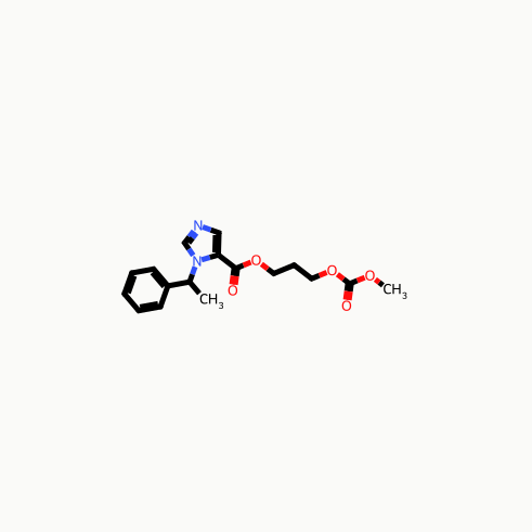 COC(=O)OCCCOC(=O)c1cncn1C(C)c1ccccc1